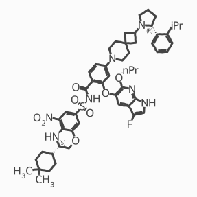 CCCOc1nc2[nH]cc(F)c2cc1Oc1cc(N2CCC3(CC2)CC(N2CCC[C@@H]2c2ccccc2C(C)C)C3)ccc1C(=O)NS(=O)(=O)c1cc2c(c([N+](=O)[O-])c1)N[C@@H](C1CCC(C)(C)CC1)CO2